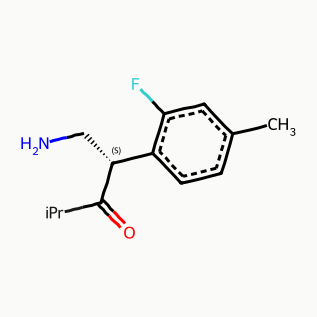 Cc1ccc([C@@H](CN)C(=O)C(C)C)c(F)c1